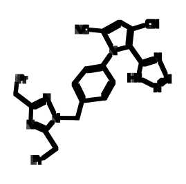 CC(C)Cc1nc(CC(C)C)n(Cc2ccc(-n3c(C#N)cc(C#N)c3-c3nnn[nH]3)cc2)n1